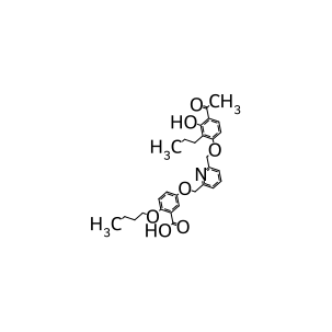 CCCCOc1ccc(OCc2cccc(COc3ccc(C(C)=O)c(O)c3CCC)n2)cc1C(=O)O